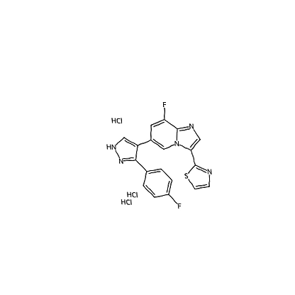 Cl.Cl.Cl.Fc1ccc(-c2n[nH]cc2-c2cc(F)c3ncc(-c4nccs4)n3c2)cc1